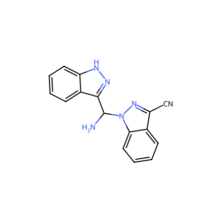 N#Cc1nn(C(N)c2n[nH]c3ccccc23)c2ccccc12